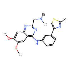 CCOc1cc2nc(CN(CC)CC)nc(Nc3cccc(-c4csc(C)n4)c3)c2cc1OCC